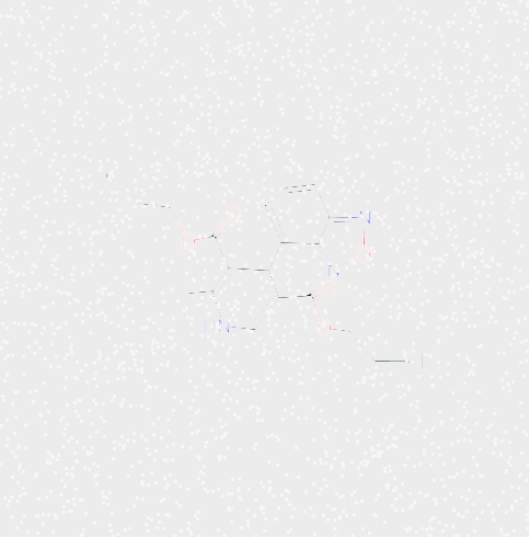 CC1=C(C(=O)OCCCl)C(c2cccc3nonc23)C(C(=O)OCCCl)=C(C)N1